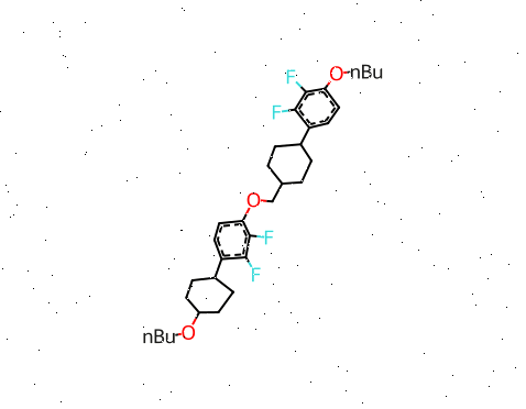 CCCCOc1ccc(C2CCC(COc3ccc(C4CCC(OCCCC)CC4)c(F)c3F)CC2)c(F)c1F